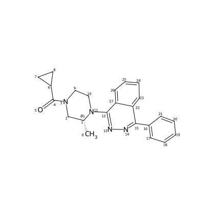 C[C@@H]1CN(C(=O)C2CC2)CCN1c1nnc(-c2ccccc2)c2ccccc12